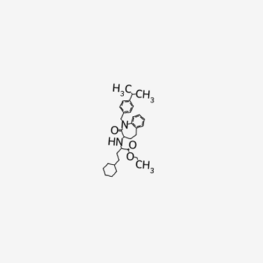 CCOC(=O)C(CCC1CCCCC1)NC1CCc2ccccc2N(Cc2ccc(C(C)C)cc2)C1=O